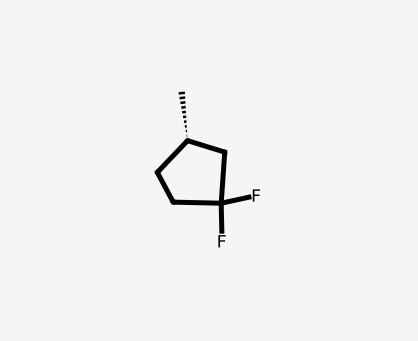 C[C@H]1CCC(F)(F)C1